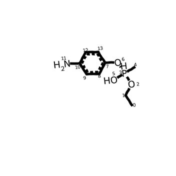 CCO[PH](C)(O)Oc1ccc(N)cc1